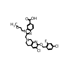 COCCn1c(CN2CCc3cc(Cl)c(OCc4ccc(Cl)cc4F)nc3C2)nc2ccc(C(=O)O)cc21